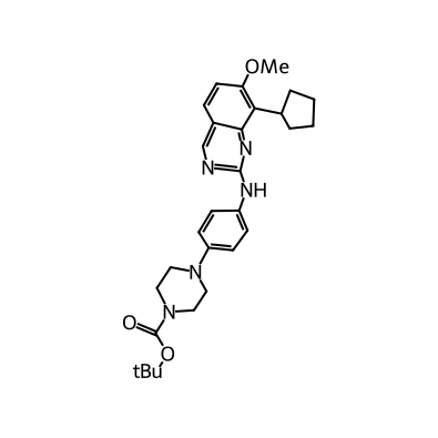 COc1ccc2cnc(Nc3ccc(N4CCN(C(=O)OC(C)(C)C)CC4)cc3)nc2c1C1CCCC1